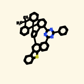 CC1(C)c2ccccc2C2(c3ccc(-c4ccc5sc6ccccc6c5c4)cc3-c3c(-c4nc(-c5ccccc5)nc(-c5ccccc5)n4)cccc32)c2ccccc21